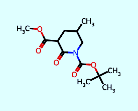 COC(=O)C1CC(C)CN(C(=O)OC(C)(C)C)C1=O